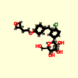 OC[C@H]1O[C@@H](c2ccc(Cl)c(Cc3ccc(OCCC4COC4)cc3)c2)[C@H](O)[C@@H](O)[C@@H]1O